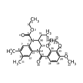 CCOC(=O)N1c2cc(C)c(C)cc2N(C(=O)c2ccc(OC)c(OC)c2OC)CC1CC